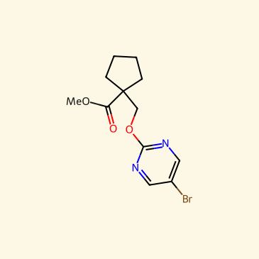 COC(=O)C1(COc2ncc(Br)cn2)CCCC1